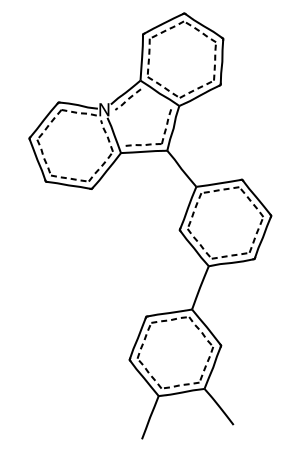 Cc1ccc(-c2cccc(-c3c4ccccc4n4ccccc34)c2)cc1C